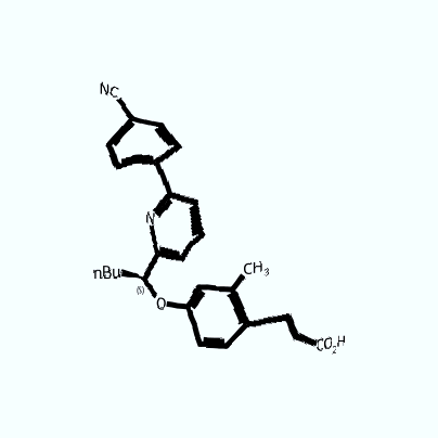 CCCC[C@H](Oc1ccc(CCC(=O)O)c(C)c1)c1cccc(-c2ccc(C#N)cc2)n1